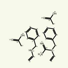 C=CN(Cc1ccccc1)C(=N)N.C=CNCc1ccccc1.CC(=O)O.CC(=O)O